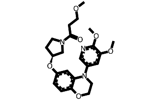 COCCC(=O)N1CC[C@H](Oc2ccc3c(c2)N(c2cnc(OC)c(OC)c2)CCO3)C1